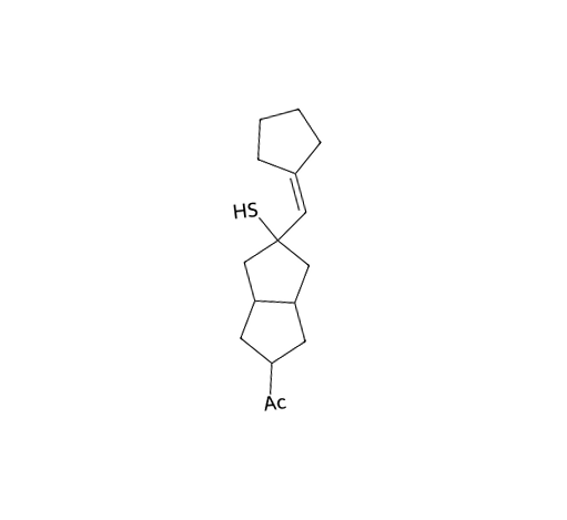 CC(=O)C1CC2CC(S)(C=C3CCCC3)CC2C1